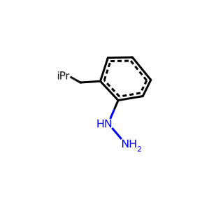 CC(C)Cc1ccccc1NN